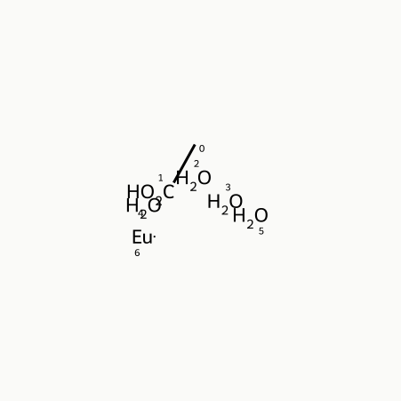 CC(=O)O.O.O.O.O.[Eu]